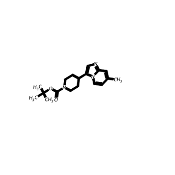 Cc1ccn2c(C3CCN(C(=O)OC(C)(C)C)CC3)cnc2c1